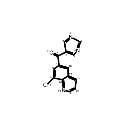 O=C(c1cncnc1)c1cc(Cl)c2ncccc2c1